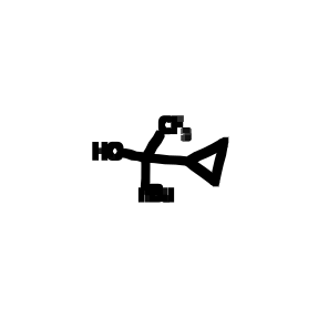 CCCCC(O)(C1CC1)C(F)(F)F